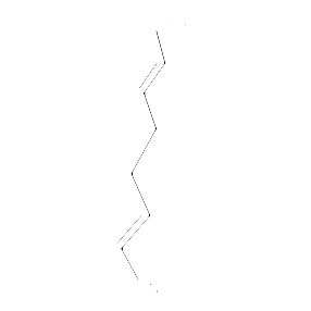 CCCCC/C=C/CC/C=C/C#N